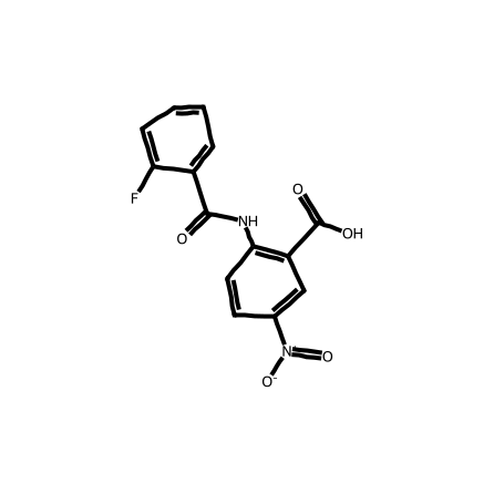 O=C(Nc1ccc([N+](=O)[O-])cc1C(=O)O)c1ccccc1F